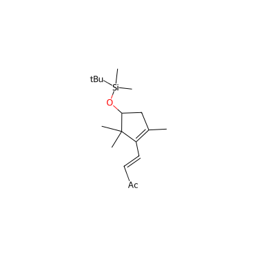 CC(=O)C=CC1=C(C)CC(O[Si](C)(C)C(C)(C)C)C1(C)C